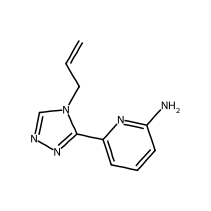 C=CCn1cnnc1-c1cccc(N)n1